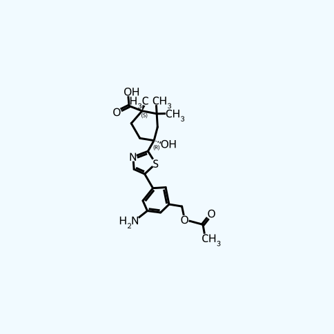 CC(=O)OCc1cc(N)cc(-c2cnc([C@@]3(O)CC[C@](C)(C(=O)O)C(C)(C)C3)s2)c1